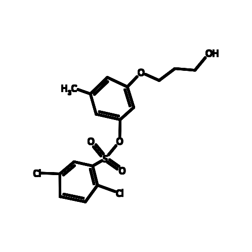 Cc1cc(OCCCO)cc(OS(=O)(=O)c2cc(Cl)ccc2Cl)c1